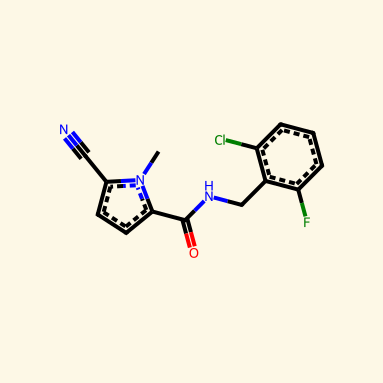 Cn1c(C#N)ccc1C(=O)NCc1c(F)cccc1Cl